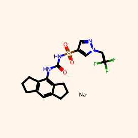 O=C(Nc1c2c(cc3c1CCC3)CCC2)NS(=O)(=O)c1cnn(CC(F)(F)F)c1.[Na]